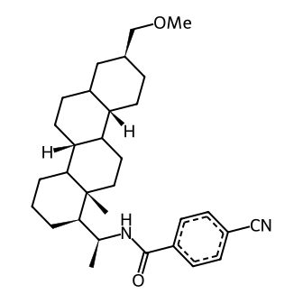 COC[C@H]1CC[C@H]2C(CC[C@@H]3C2CC[C@@]2(C)C3CCC[C@@H]2[C@H](C)NC(=O)c2ccc(C#N)cc2)C1